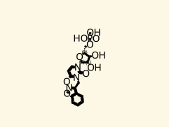 O=c1ccn([C@@H]2O[C@H](COP(=O)(O)O)C(O)[C@@H]2O)c(=O)n1Cc1noc2ccccc12